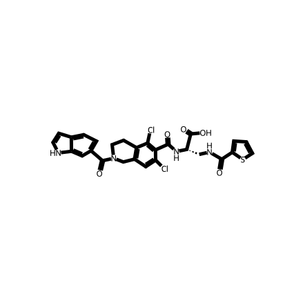 O=C(NC[C@H](NC(=O)c1c(Cl)cc2c(c1Cl)CCN(C(=O)c1ccc3cc[nH]c3c1)C2)C(=O)O)c1cccs1